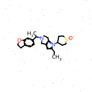 CCc1cc2c(n1C1CC[S+]([O-])CC1)CCN(C(C)c1ccc3c(c1)OCC3)C2